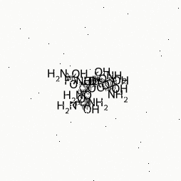 NC[C@@H]1C[C@@H](O)[C@@H](N)[C@@H](O[C@H]2[C@H](O[C@@H]3O[C@H](CO)[C@@H](O[C@H]4O[C@@H](CN)[C@@H](O)[C@H](O)[C@H]4N)C3=O)[C@@H](O)[C@H](NC(=O)C(O)[C@@H](F)CN)C[C@@H]2N)O1